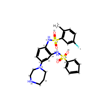 Cc1ccc(F)cc1S(=O)(=O)Nc1ccc(N2CCCNCC2)cc1NS(=O)(=O)c1ccccc1